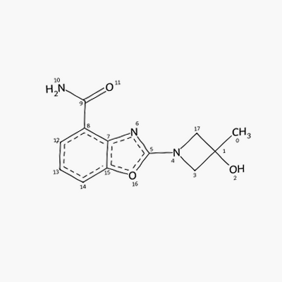 CC1(O)CN(c2nc3c(C(N)=O)[c]ccc3o2)C1